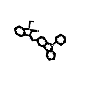 CCN1C(=O)/C(=C\c2ccc3c(c2)c2ccccc2n3-c2ccccc2)c2ccccc21